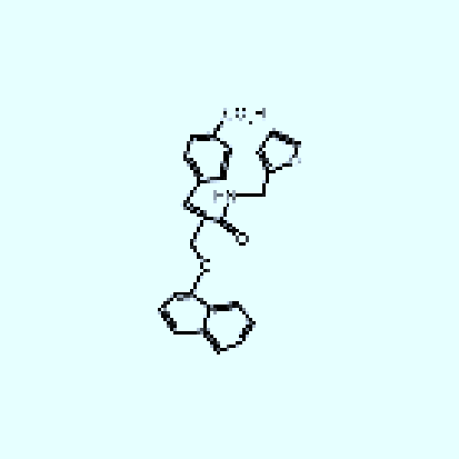 O=C(NCc1ccco1)C(=Cc1ccc(C(=O)O)cc1)COc1cccc2ccccc12